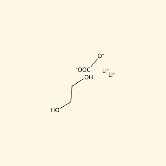 O=C([O-])[O-].OCCO.[Li+].[Li+]